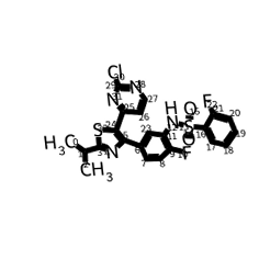 CC(C)c1nc(-c2ccc(F)c(NS(=O)(=O)c3ccccc3F)c2)c(-c2ccnc(Cl)n2)s1